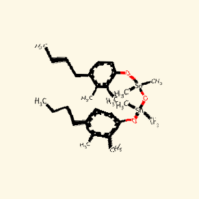 CCCCc1ccc([O][Sn]([CH3])([CH3])[O][Sn]([CH3])([CH3])[O]c2ccc(CCCC)c(C)c2C)c(C)c1C